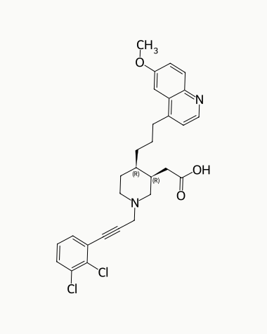 COc1ccc2nccc(CCC[C@@H]3CCN(CC#Cc4cccc(Cl)c4Cl)C[C@@H]3CC(=O)O)c2c1